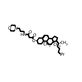 CC(C)CCC[C@@H](C)C1CCC2C3CC=C4C[C@@H](OC(=O)CC(=O)NCCCN5CCOCC5)CC[C@]4(C)C3CCC21C